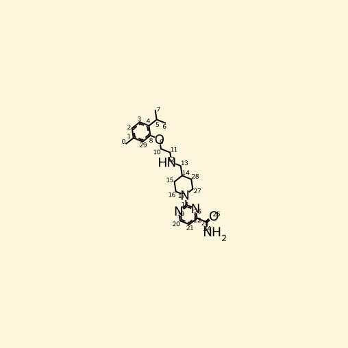 Cc1ccc(C(C)C)c(OCCNCC2CCN(c3nccc(C(N)=O)n3)CC2)c1